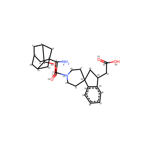 NC(=O)C12CC3CC(C1)C(OC(=O)N1CCC4(CC1)CC(CC(=O)O)c1ccccc14)C(C3)C2